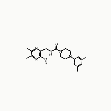 COc1nc(C)c(C)nc1CNC(=O)N1CCN(c2cc(C)cc(C)c2)CC1